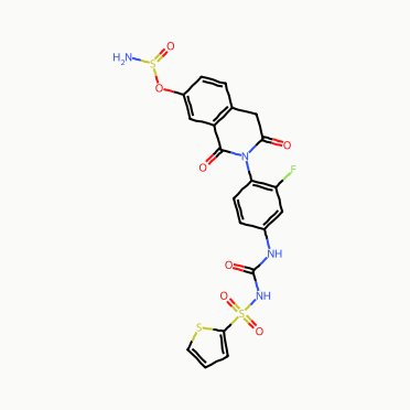 NS(=O)Oc1ccc2c(c1)C(=O)N(c1ccc(NC(=O)NS(=O)(=O)c3cccs3)cc1F)C(=O)C2